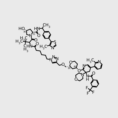 Cc1ncccc1C1=CN=C(O[C@@H]2CCO[C@@H](COCc3cn(CCCCCC(=O)NC(C(=O)N4C[C@H](O)C[C@H]4C(=O)NC(C)c4ccc(-c5scnc5C)cc4)C(C)(C)C)nn3)C2)C(NC(=O)c2cccc(C(F)(F)F)c2)(N2CCOCC2)C1